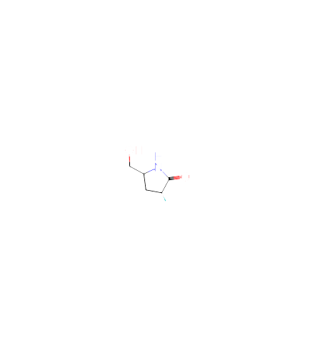 O=C1NC(CO)C[C@@H]1F